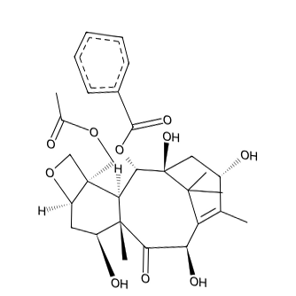 CC(=O)OC[C@@]12CO[C@@H]1C[C@H](O)[C@@]1(C)C(=O)[C@H](O)C3=C(C)[C@@H](O)C[C@@](O)([C@@H](OC(=O)c4ccccc4)[C@H]21)C3(C)C